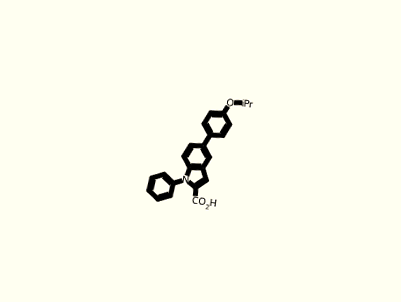 CC(C)Oc1ccc(-c2ccc3c(c2)cc(C(=O)O)n3-c2ccccc2)cc1